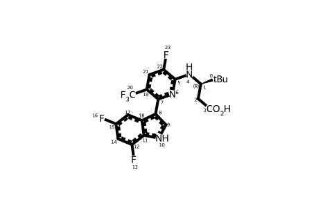 CC(C)(C)[C@@H](CC(=O)O)Nc1nc(-c2c[nH]c3c(F)cc(F)cc23)c(C(F)(F)F)cc1F